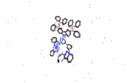 C#C/C=C\c1c(C)c2ccccc2n1-c1cccc(-c2cc(-n3c4ccc(S(c5ccccc5)(c5ccccc5)c5ccccc5)cc4c4cc(S(c5ccccc5)(c5ccccc5)c5ccccc5)ccc43)nc(-n3c4ccccc4n4c5ccccc5nc34)c2)c1